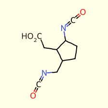 O=C=NCC1CCC(N=C=O)C1CC(=O)O